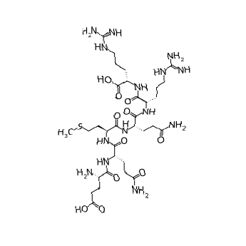 CSCC[C@H](NC(=O)[C@H](CCC(N)=O)NC(=O)[C@@H](N)CCC(=O)O)C(=O)N[C@@H](CCC(N)=O)C(=O)N[C@@H](CCCNC(=N)N)C(=O)N[C@@H](CCCNC(=N)N)C(=O)O